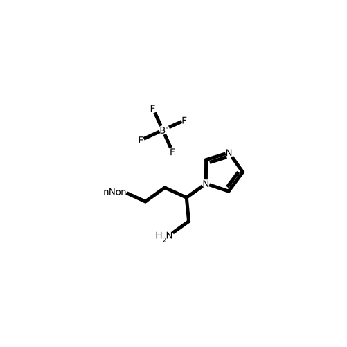 CCCCCCCCCCCC(CN)n1ccnc1.F[B-](F)(F)F